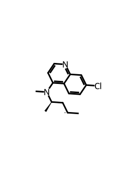 C[CH]C[C@@H](C)N(C)c1ccnc2cc(Cl)ccc12